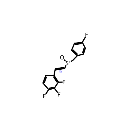 [O-][S+](/C=C/c1ccc(F)c(F)c1F)Cc1ccc(F)cc1